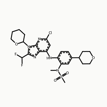 CN(c1cc(C2CCOCC2)ccc1Nc1cc(Cl)nc2c1nc(C(F)F)n2C1CCCCO1)S(C)(=O)=O